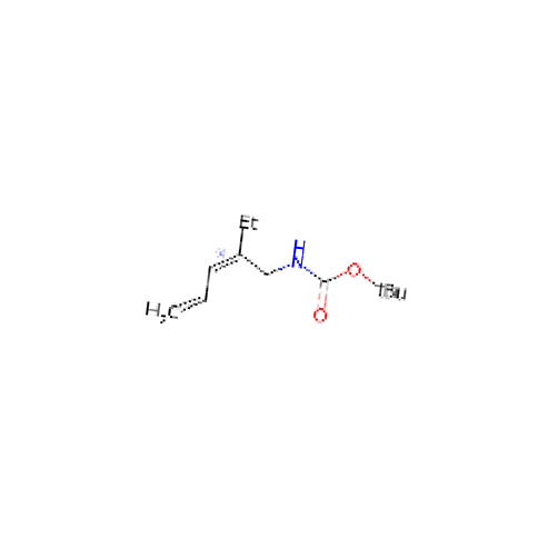 C=C/C=C(/CC)CNC(=O)OC(C)(C)C